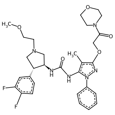 COCCN1C[C@@H](NC(=O)Nc2c(C)c(OCC(=O)N3CCOCC3)nn2-c2ccccc2)[C@H](c2ccc(F)c(F)c2)C1